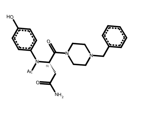 CC(=O)N(c1ccc(O)cc1)[C@@H](CC(N)=O)C(=O)N1CCN(Cc2ccccc2)CC1